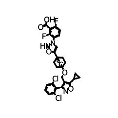 O=C(O)c1c(F)ccc(N2C=C(C34CCC(OCc5c(-c6c(Cl)cccc6Cl)noc5C5CC5)(CC3)CC4)ON2)c1F